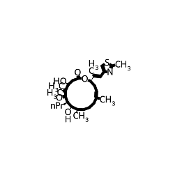 CCC[C@H]1C(=O)C(C)(C)[C@@H](O)CC(=O)O[C@H](/C(C)=C/c2csc(C)n2)CC=C(C)CCC[C@H](C)[C@@H]1O